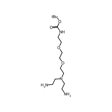 CC(C)(C)OC(=O)NCCOCCOCCN(CCN)CCN